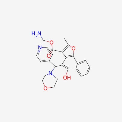 Cc1oc2c(c1C(=O)OCN)c(C(c1ccncc1)N1CCOCC1)c(O)c1ccccc12